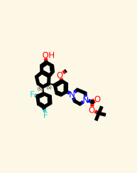 COc1cc(N2CCN(C(=O)OC(C)(C)C)CC2)ccc1[C@@H]1c2ccc(O)cc2CC[C@@H]1c1ccc(F)cc1F